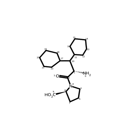 N[C@H](C(=O)N1CCC[C@H]1C(=O)O)C(C1CCCCC1)C1CCCCC1